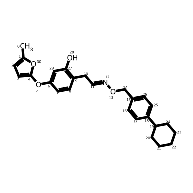 Cc1ccc(Oc2ccc(CC=NOCc3ccc(C4CCCCC4)cc3)c(O)c2)o1